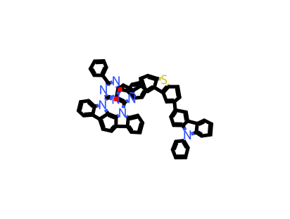 c1ccc(-c2nc(-c3ccccc3)nc(-n3c4ccccc4c4ccc5c6ccccc6n(-c6cccc(-c7ccc8sc9ccc(-c%10ccc%11c(c%10)c%10ccccc%10n%11-c%10ccccc%10)cc9c8c7)n6)c5c43)n2)cc1